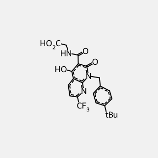 CC(C)(C)c1ccc(Cn2c(=O)c(C(=O)NCC(=O)O)c(O)c3ccc(C(F)(F)F)nc32)cc1